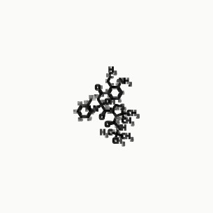 CCc1c(N)cccc1C(=O)[C@@H](Cc1ccccc1)[C@](N)(O)C(=O)N1CSC(C)(C)[C@H]1C(=O)NC(C)(C)C